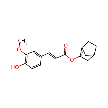 COc1cc(C=CC(=O)OC2=C3CCC(C3)C2)ccc1O